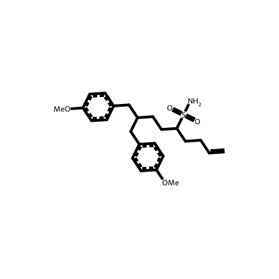 C=CCCC(CCC(Cc1ccc(OC)cc1)Cc1ccc(OC)cc1)S(N)(=O)=O